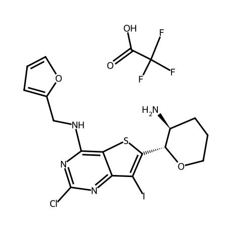 N[C@H]1CCCO[C@@H]1c1sc2c(NCc3ccco3)nc(Cl)nc2c1I.O=C(O)C(F)(F)F